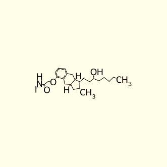 CCCCC[C@H](O)CC[C@@H]1[C@H]2Cc3cccc(OCC(=O)NI)c3C[C@H]2C[C@H]1C